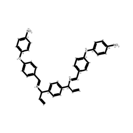 C=CC(N=Cc1ccc(Oc2ccc([N+](=O)[O-])cc2)cc1)c1ccc(C(C=C)N=Cc2ccc(Oc3ccc([N+](=O)[O-])cc3)cc2)cc1